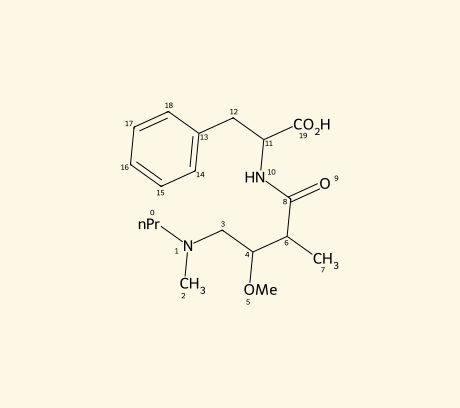 CCCN(C)CC(OC)C(C)C(=O)NC(Cc1ccccc1)C(=O)O